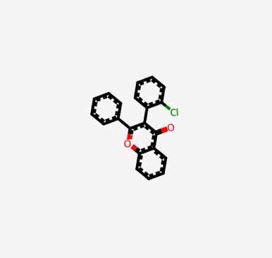 O=c1c(-c2ccccc2Cl)c(-c2ccccc2)oc2ccccc12